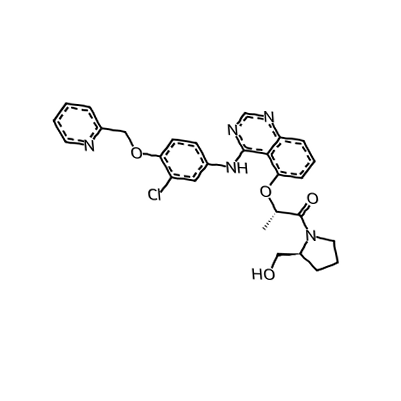 C[C@H](Oc1cccc2ncnc(Nc3ccc(OCc4ccccn4)c(Cl)c3)c12)C(=O)N1CCC[C@H]1CO